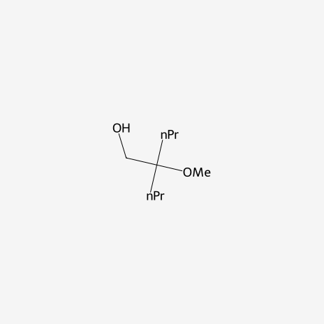 CCCC(CO)(CCC)OC